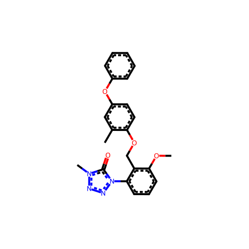 COc1cccc(-n2nnn(C)c2=O)c1COc1ccc(Oc2ccccc2)cc1C